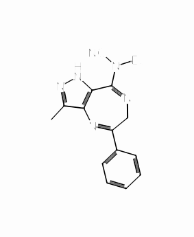 CCN(C#N)C1=NCC(c2ccccc2)=Nc2c(C)n[nH]c21